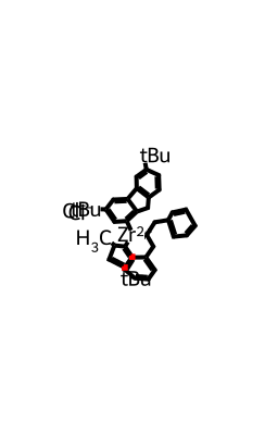 CC1C=C(C(C)(C)C)C=[C]1[Zr+2](=[C](Cc1ccccc1)Cc1ccccc1)[c]1cc(C(C)(C)C)cc2c1Cc1ccc(C(C)(C)C)cc1-2.[Cl-].[Cl-]